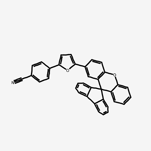 N#Cc1ccc(-c2ccc(-c3ccc4c(c3)C3(c5ccccc5O4)c4ccccc4-c4ccccc43)o2)cc1